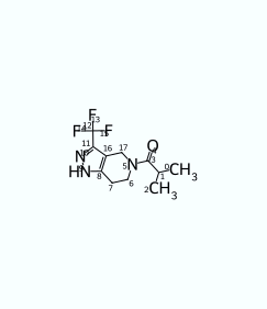 CC(C)C(=O)N1CCc2[nH]nc(C(F)(F)F)c2C1